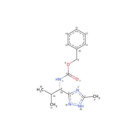 Cc1nc([C@@H](NC(=O)OCc2ccccc2)C(C)C)n[nH]1